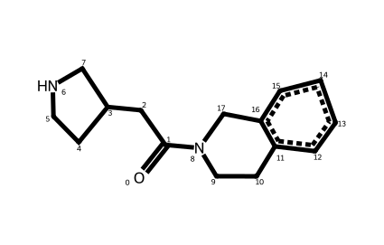 O=C(CC1CCNC1)N1CCc2ccccc2C1